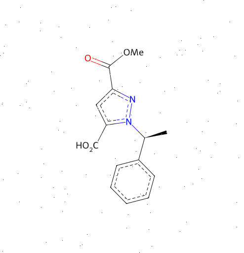 COC(=O)c1cc(C(=O)O)n([C@@H](C)c2ccccc2)n1